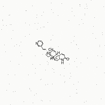 C[C@]12CC[C@H]3[C@@H](CCC4NC(=O)C=C[C@@]43C)[C@@H]1CC[C@@H]2/C=C/c1cccnc1